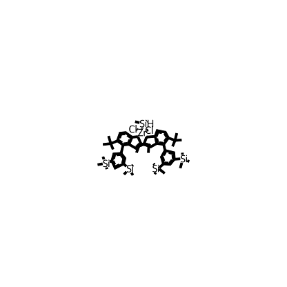 CCC1=Cc2c(ccc(C(C)(C)C)c2-c2cc([Si](C)(C)C)cc([Si](C)(C)C)c2)[CH]1[Zr]([Cl])([Cl])([CH]1C(CC)=Cc2c1ccc(C(C)(C)C)c2-c1cc([Si](C)(C)C)cc([Si](C)(C)C)c1)[SiH](C)C